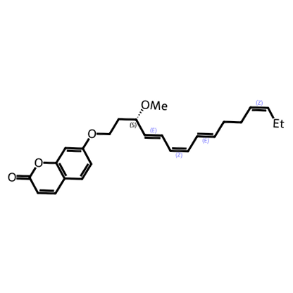 CC/C=C\CC/C=C/C=C\C=C\[C@H](CCOc1ccc2ccc(=O)oc2c1)OC